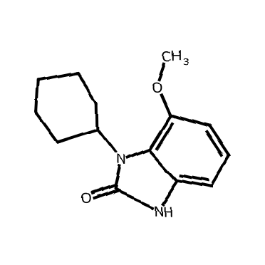 COc1cccc2[nH]c(=O)n(C3CCCCC3)c12